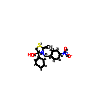 C=C1SCC(O)(c2ccccc2)N1Cc1ccc([N+](=O)[O-])cc1